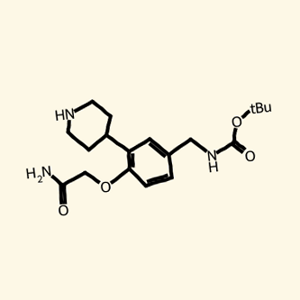 CC(C)(C)OC(=O)NCc1ccc(OCC(N)=O)c(C2CCNCC2)c1